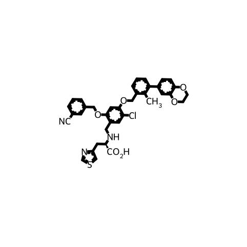 Cc1c(COc2cc(OCc3cccc(C#N)c3)c(CN[C@H](Cc3cscn3)C(=O)O)cc2Cl)cccc1-c1ccc2c(c1)OCCO2